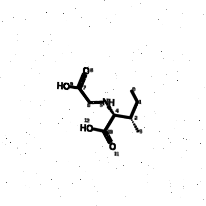 CC[C@H](C)[C@H](NCC(=O)O)C(=O)O